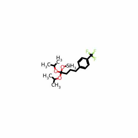 CC(C)OC(CCCc1ccc(C(F)(F)F)cc1)(O[SiH3])OC(C)C